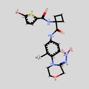 Cc1cc(NC(=O)C2(NC(=O)c3ccc(Br)s3)CCC2)ccc1N1CCOC/C1=N/[N+](=O)[O-]